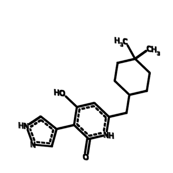 CC1(C)CCC(Cc2cc(O)c(-c3cn[nH]c3)c(=O)[nH]2)CC1